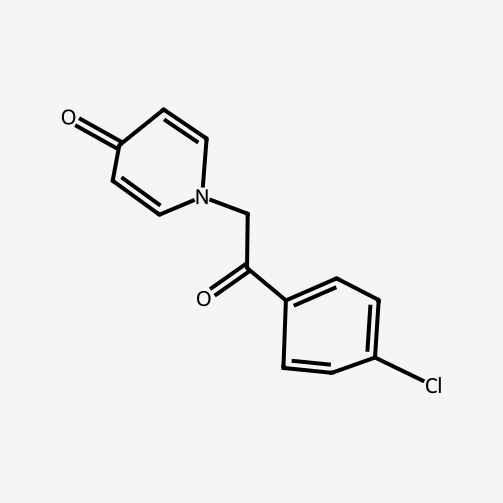 O=C(Cn1ccc(=O)cc1)c1ccc(Cl)cc1